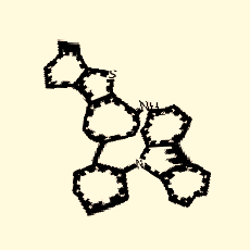 Nc1cc(-c2ccccc2-n2c3ccccc3c3ccccc32)cc2c1sc1ccccc12